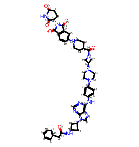 O=C1CC[C@H](N2C(=O)c3ccc(N4CCC(C(=O)N5CC(N6CCN(c7ccc(Nc8ncnc9c8ncn9C8CC(NC(=O)Cc9ccccc9)C8)cc7)CC6)C5)CC4)cc3C2=O)C(=O)N1